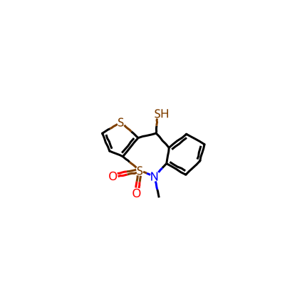 CN1c2ccccc2C(S)c2sccc2S1(=O)=O